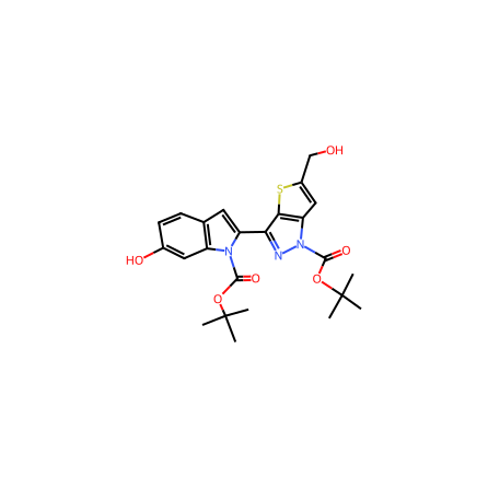 CC(C)(C)OC(=O)n1nc(-c2cc3ccc(O)cc3n2C(=O)OC(C)(C)C)c2sc(CO)cc21